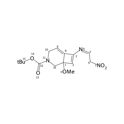 COC12C=C(/N=C\C[N+](=O)[O-])C1=CCN(C(=O)OC(C)(C)C)C2